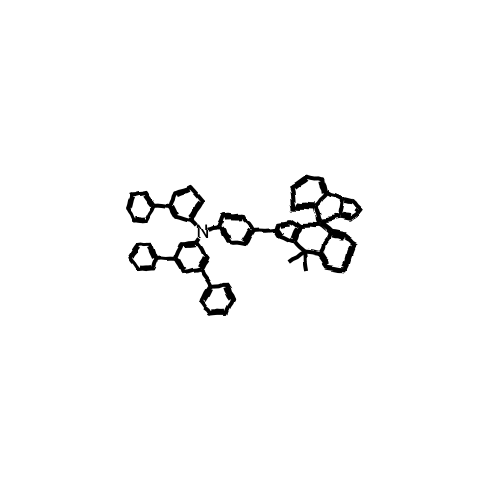 CC1(C)c2ccccc2C2(c3ccccc3-c3ccccc32)c2ccc(-c3ccc(N(c4cccc(-c5ccccc5)c4)c4cc(-c5ccccc5)cc(-c5ccccc5)c4)cc3)cc21